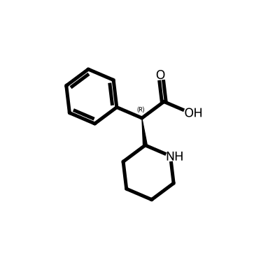 O=C(O)[C@H](c1ccccc1)C1CCCCN1